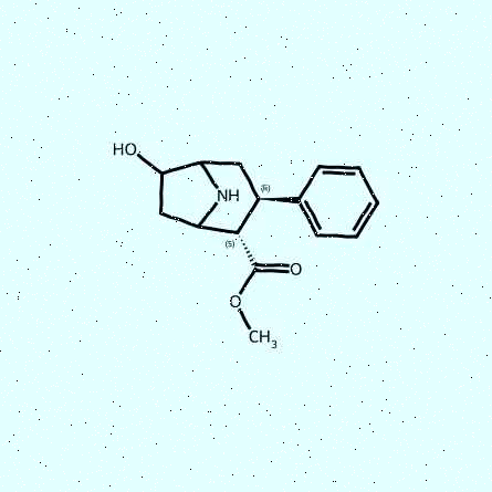 COC(=O)[C@@H]1C2CC(O)C(C[C@H]1c1ccccc1)N2